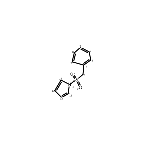 O=S(=O)(Cc1ccccc1)n1[c]ccc1